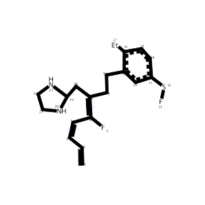 C=C/C=C\C(F)=C(\CCc1cc(SF)ccc1CC)CC1NCCN1